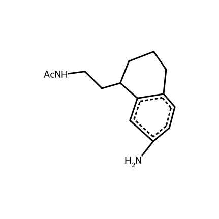 CC(=O)NCCC1CCCc2ccc(N)cc21